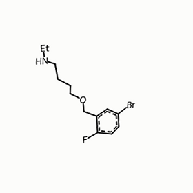 CCNCCCCOCc1cc(Br)ccc1F